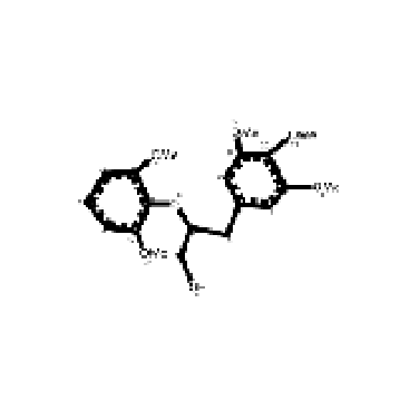 COc1cc(CC(CO)Oc2c(OC)cccc2OC)cc(OC)c1OC